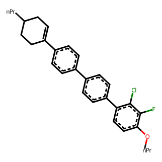 CCCOc1ccc(-c2ccc(-c3ccc(C4=CCC(CCC)CC4)cc3)cc2)c(Cl)c1F